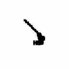 CCCCCCCCCCCCCCCCOCC(COC)OCCC(=O)O